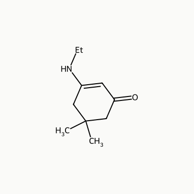 CCNC1=CC(=O)CC(C)(C)C1